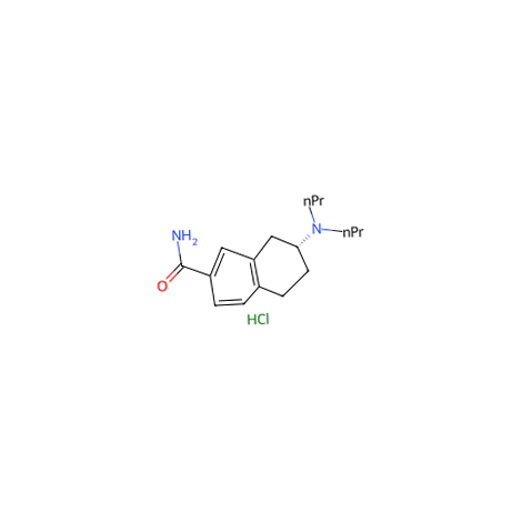 CCCN(CCC)[C@@H]1CCc2ccc(C(N)=O)cc2C1.Cl